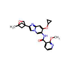 COc1ncccc1C(=O)Nc1cn2cc(C34COC(C)(C3)C4)nc2cc1OC1CC1